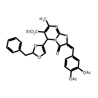 CCOC(=O)C1=C(C)N=c2sc(=Cc3ccc(OC(C)=O)c(OC(C)=O)c3)c(=O)n2C1C1=COC(Cc2ccccc2)O1